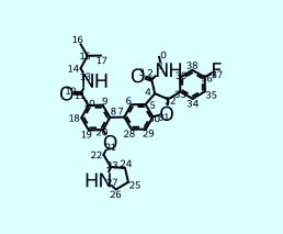 CNC(=O)C1c2cc(-c3cc(C(=O)NCC(C)C)ccc3OCC3CCCN3)ccc2OC1c1ccc(F)cc1